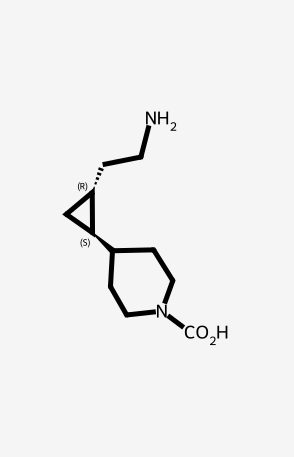 NCC[C@H]1C[C@@H]1C1CCN(C(=O)O)CC1